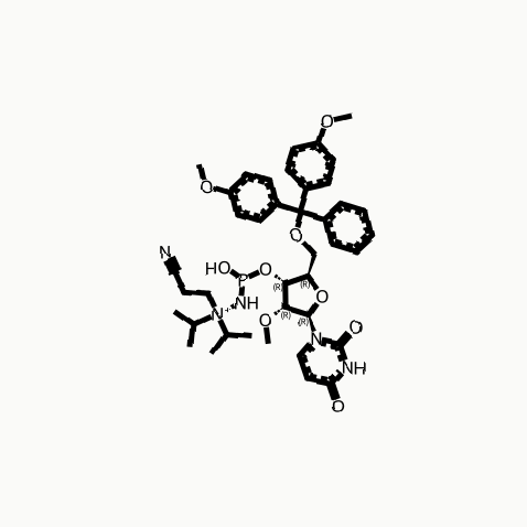 COc1ccc(C(OC[C@H]2O[C@@H](n3ccc(=O)[nH]c3=O)[C@H](OC)[C@@H]2OP(O)N[N+](CCC#N)(C(C)C)C(C)C)(c2ccccc2)c2ccc(OC)cc2)cc1